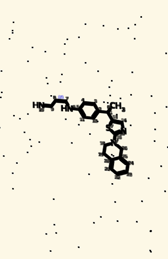 CC(c1ccc(N/C=C\C=N)cc1)c1cnc(N2CCc3ccccc3C2)s1